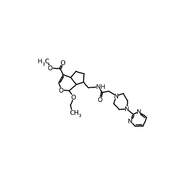 CCOC1OC=C(C(=O)OC)C2CCC(CNC(=O)CN3CCN(c4ncccn4)CC3)C12